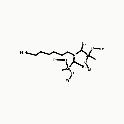 CCO[Si](C)(OCC)C(CC)N(CCCCCCN)C(CC)[Si](C)(OCC)OCC